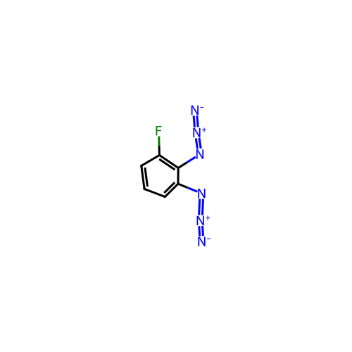 [N-]=[N+]=Nc1cccc(F)c1N=[N+]=[N-]